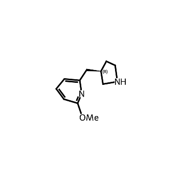 COc1cccc(C[C@H]2CCNC2)n1